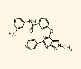 Cn1cc2c(Oc3cccc(C(=O)Nc4cccc(C(F)(F)F)c4)c3)nc(-c3ccncc3)nc2n1